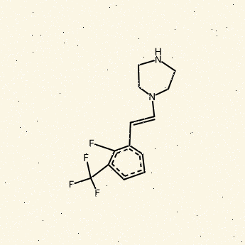 Fc1c(C=CN2CCNCC2)cccc1C(F)(F)F